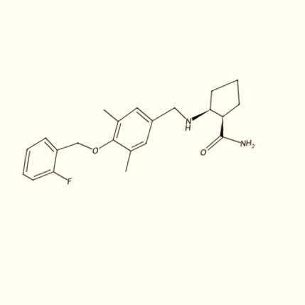 Cc1cc(CN[C@H]2CCC[C@H]2C(N)=O)cc(C)c1OCc1ccccc1F